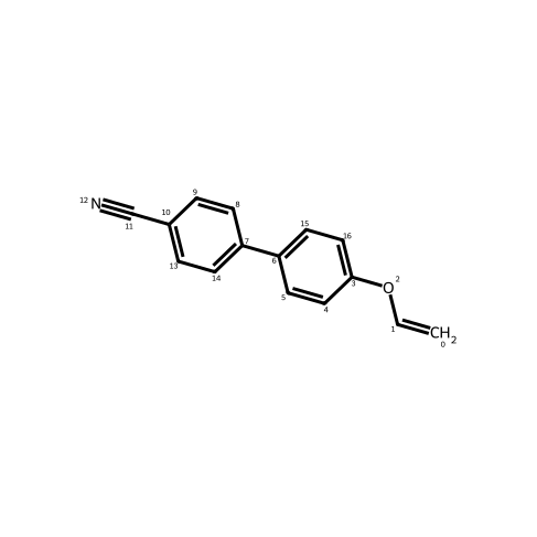 C=COc1ccc(-c2ccc(C#N)cc2)cc1